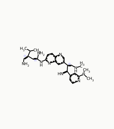 CN/C=C(\C(=N)c1ccnc(N(C)C)c1)c1cnc2ccc(N/C(N)=C/C(=C\N)C(C)C)nc2c1